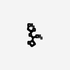 CCC(=O)OC(C)C1CCO1